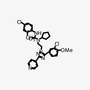 COc1ccc(-c2nc(-c3ccncc3)nn2CCN(C(=O)Nc2ccc(Cl)cc2C)C2CCCC2)cc1Cl